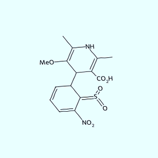 COC1=C(C)NC(C)=C(C(=O)O)C1C1C=CC=C([N+](=O)[O-])C1=S(=O)=O